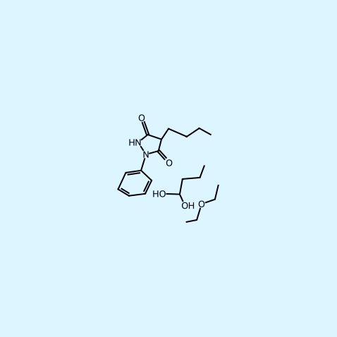 CCCC(O)O.CCCCC1C(=O)NN(c2ccccc2)C1=O.CCOCC